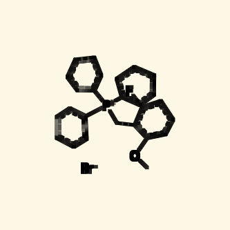 COc1cccc(F)c1C[P+](c1ccccc1)(c1ccccc1)c1ccccc1.[Br-]